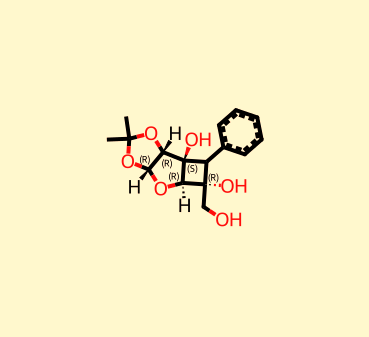 CC1(C)O[C@H]2O[C@H]3[C@@](O)(C(c4ccccc4)[C@@]3(O)CO)[C@H]2O1